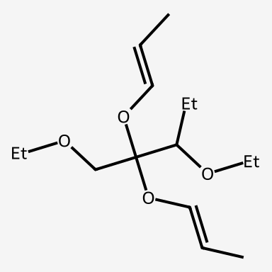 CC=COC(COCC)(OC=CC)C(CC)OCC